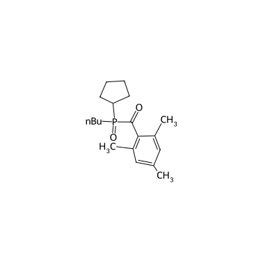 CCCCP(=O)(C(=O)c1c(C)cc(C)cc1C)C1CCCC1